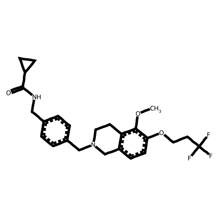 COc1c(OCCC(F)(F)F)ccc2c1CCN(Cc1ccc(CNC(=O)C3CC3)cc1)C2